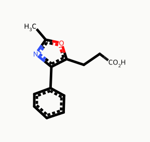 Cc1nc(-c2ccccc2)c(CCC(=O)O)o1